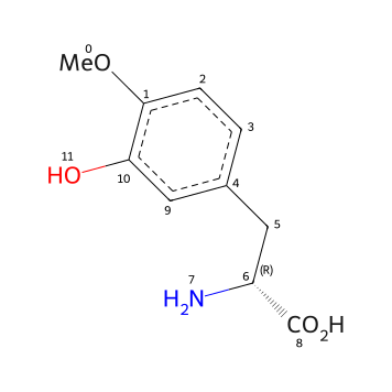 COc1ccc(C[C@@H](N)C(=O)O)cc1O